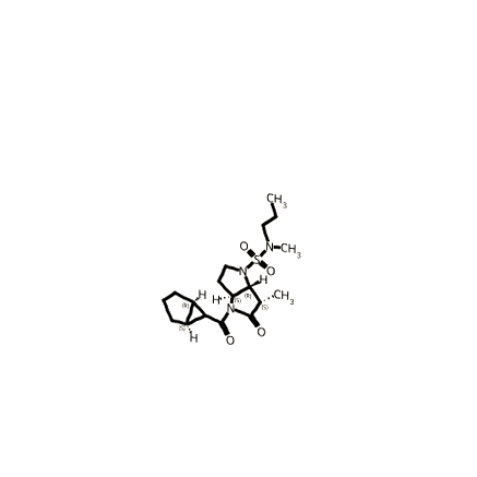 CCCN(C)S(=O)(=O)N1CC[C@H]2[C@H]1[C@H](C)C(=O)N2C(=O)C1[C@H]2CCC[C@@H]12